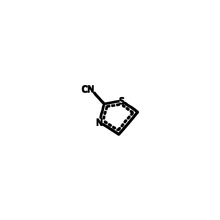 [C-]#[N+]c1nccs1